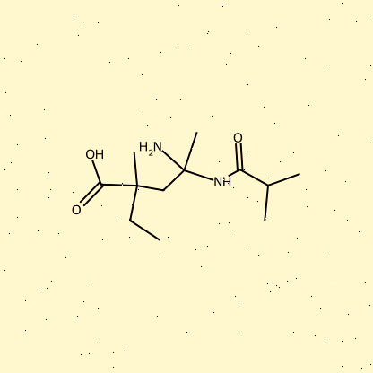 CCC(C)(CC(C)(N)NC(=O)C(C)C)C(=O)O